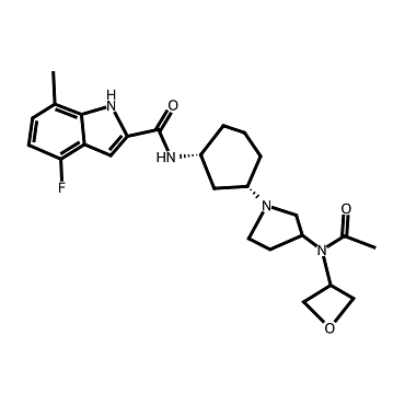 CC(=O)N(C1COC1)C1CCN([C@H]2CCC[C@@H](NC(=O)c3cc4c(F)ccc(C)c4[nH]3)C2)C1